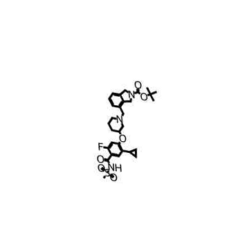 CC(C)(C)OC(=O)N1Cc2cccc(CN3CCCC(Oc4cc(F)c(C(=O)NS(C)(=O)=O)cc4C4CC4)C3)c2C1